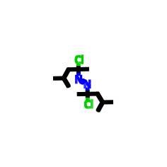 CC(C)CC(C)(Cl)N=NC(C)(Cl)CC(C)C